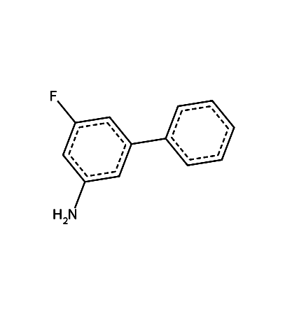 Nc1cc(F)cc(-c2ccccc2)c1